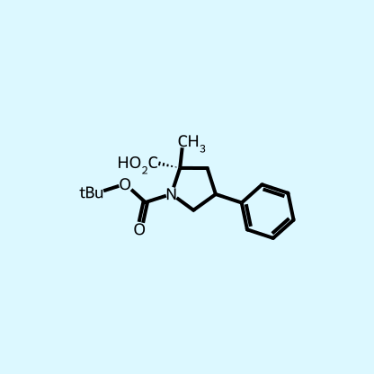 CC(C)(C)OC(=O)N1CC(c2ccccc2)C[C@@]1(C)C(=O)O